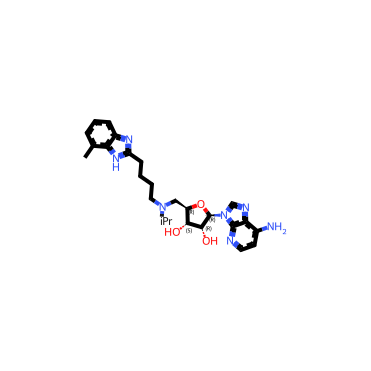 Cc1cccc2nc(CCCCN(C[C@H]3O[C@@H](n4cnc5c(N)ccnc54)[C@H](O)[C@@H]3O)C(C)C)[nH]c12